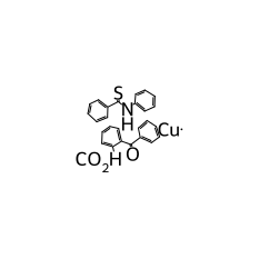 O=C(O)c1ccccc1C(=O)c1ccccc1.S=C(Nc1ccccc1)c1ccccc1.[Cu]